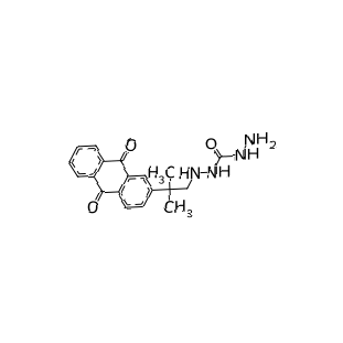 CC(C)(CNNC(=O)NN)c1ccc2c(c1)C(=O)c1ccccc1C2=O